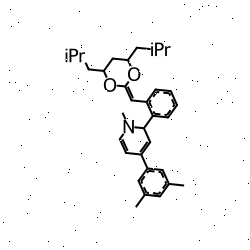 Cc1cc(C)cc(C2=CC(c3ccccc3C=C3OC(CC(C)C)CC(CC(C)C)O3)N(C)C=C2)c1